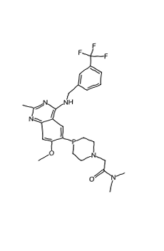 COc1cc2nc(C)nc(NCc3cccc(C(F)(F)F)c3)c2cc1P1CCN(CC(=O)N(C)C)CC1